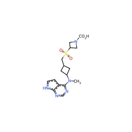 CN(c1ncnc2[nH]ccc12)C1CC(CS(=O)(=O)C2CN(C(=O)O)C2)C1